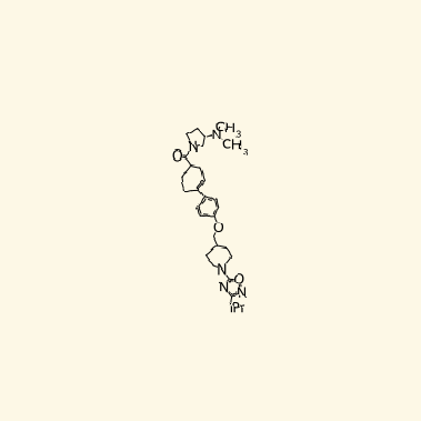 CC(C)c1noc(N2CCC(COc3ccc(C4=CCC(C(=O)N5CC[C@@H](N(C)C)C5)CC4)cc3)CC2)n1